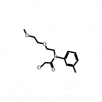 COCCOCCN(C(=O)CCl)c1cccc(C)c1